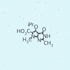 Cc1nc2c(c(OC(C)C)c(C(=O)O)n2C)c(=O)[nH]1